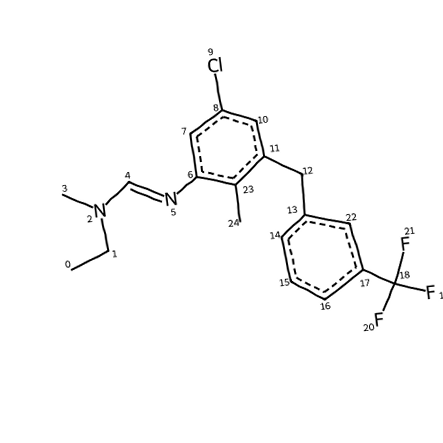 CCN(C)C=Nc1cc(Cl)cc(Cc2cccc(C(F)(F)F)c2)c1C